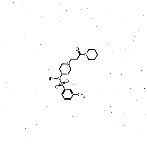 CC(C)N(C1CCN(CCC(=O)N2CCCCC2)CC1)S(=O)(=O)c1cccc(C(F)(F)F)c1